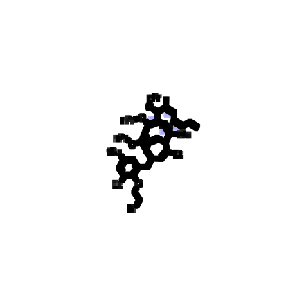 C=C/C=C(\C=C(\C)C(OCCC)C1=C(\OCCC)C2C3=CC(C(CC)=CC(Cc4cc(C(C)(C)C)cc(CC)c4OCCBr)(C3)C2OCCC)/C(C(C)(C)C)=C\1)C(C)(C)C